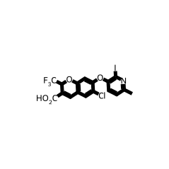 Cc1ccc(Oc2cc3c(cc2Cl)C=C(C(=O)O)C(C(F)(F)F)O3)c(I)n1